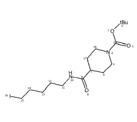 CC(C)(C)OC(=O)N1CCC(C(=O)NCCCCCI)CC1